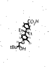 CCC(CC)(c1ccc(C(=O)O)cc1)c1ccc(OCC(O)C(C)(C)C)c(C)c1